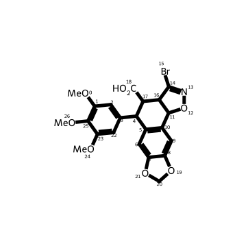 COc1cc(C2c3cc4c(cc3C3ON=C(Br)C3C2C(=O)O)OCO4)cc(OC)c1OC